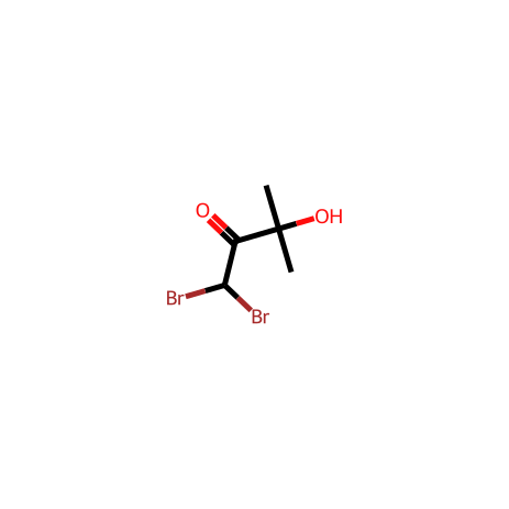 CC(C)(O)C(=O)C(Br)Br